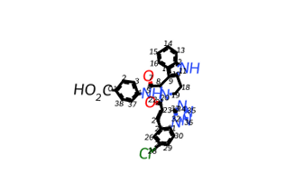 O=C(O)c1ccc(NC(=O)C2c3c([nH]c4ccccc34)CCN2C(=O)C=Cc2cc(Cl)ccc2-n2cnnn2)cc1